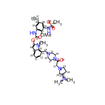 COc1c(NC(=O)Oc2cc3cccc(CN4CCN(C(=O)CN5CC[C@@H](N(C)C)C5)CC4)c3n2C)cc(C(C)(C)C)cc1NS(C)(=O)=O